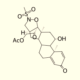 CC(=O)OCC(=O)[C@@]12ON(S(C)(=O)=O)C[C@@H]1CC1C3CCC4=CC(=O)C=C[C@]4(C)C3[C@@H](O)C[C@@]12C